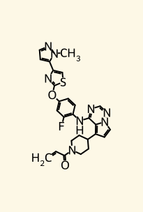 C=CC(=O)N1CCC(c2ccn3ncnc(Nc4ccc(Oc5nc(-c6ccnn6C)cs5)cc4F)c23)CC1